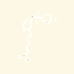 O=C(O)CCCC=CC1CCCC(NS(=O)(=O)c2ccc(Br)cc2)C1